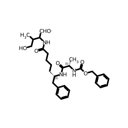 CC(CO)C([C]=O)NC(=O)CCCC[C@@H](Cc1ccccc1)NC(=O)[C@H](C)NC(=O)OCc1ccccc1